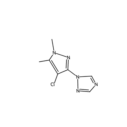 Cc1c(Cl)c(-n2cncn2)nn1C